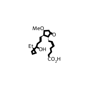 CCC1(C(O)C/C=C/[C@H]2[C@H](OC)CC(=O)[C@@H]2C/C=C\CCCC(=O)O)CCC1